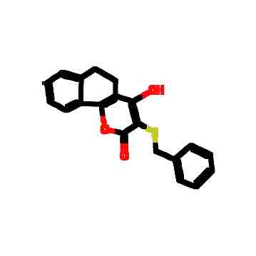 O=c1oc2c(c(O)c1SCc1ccccc1)CCc1c[c]ccc1-2